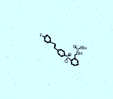 CC(C)(C)[S+]([O-])NCc1ccccc1S(=O)(=O)c1ccc(C=Cc2ccc(F)cc2)cc1